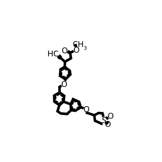 C#CC(CC(=O)OC)c1ccc(OCc2ccc3c(c2)-c2ccc(OCC4CCS(=O)(=O)CC4)cc2CCC3)cc1